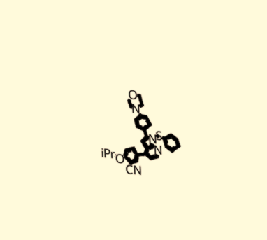 CC(C)Oc1ccc(-c2ccnc3c2cc(-c2ccc(N4CCOCC4)cc2)n3Sc2ccccc2)cc1C#N